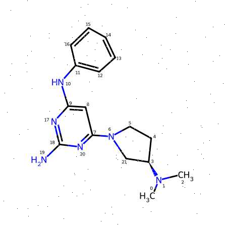 CN(C)[C@@H]1CCN(c2cc(Nc3ccccc3)nc(N)n2)C1